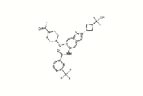 CC(=O)N1CCC(Oc2cc3nn([C@H]4C[C@H](C(C)(C)O)C4)cc3cc2NC(=O)c2cccc(C(F)(F)F)n2)CC1